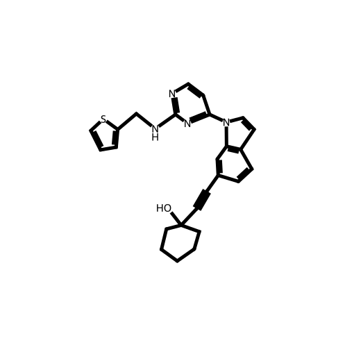 OC1(C#Cc2ccc3ccn(-c4ccnc(NCc5cccs5)n4)c3c2)CCCCC1